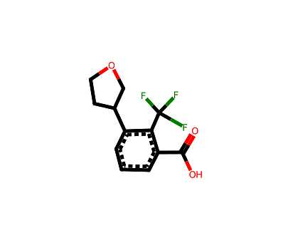 O=C(O)c1cccc(C2CCOC2)c1C(F)(F)F